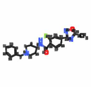 O=C(NC1CCN(Cc2ccccc2)CC1)c1ccc(-c2noc(C(F)(F)F)n2)cc1F